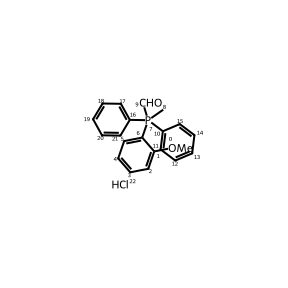 COc1ccccc1P(C)(C=O)(c1ccccc1)c1ccccc1.Cl